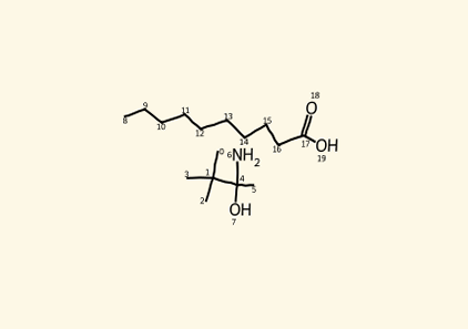 CC(C)(C)C(C)(N)O.CCCCCCCCCC(=O)O